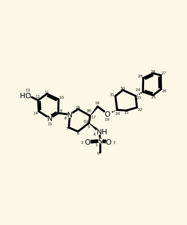 CS(=O)(=O)N[C@H]1CCN(c2ccc(O)cn2)C[C@H]1CO[C@H]1CC[C@@H](c2ccccc2)CC1